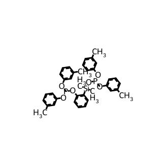 Cc1cccc(OP(Oc2cccc(C)c2)Oc2ccccc2[Si](C)(C)OP(Oc2cccc(C)c2)Oc2cccc(C)c2)c1